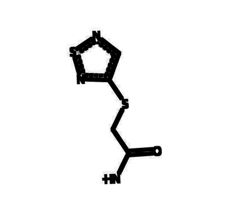 [NH]C(=O)CSc1cnsn1